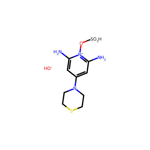 Nc1cc(N2CCSCC2)cc(N)[n+]1OS(=O)(=O)O.[OH-]